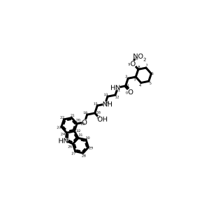 O=C(CC1CCCCC1O[N+](=O)[O-])NCCNCC(O)COc1cccc2[nH]c3ccccc3c12